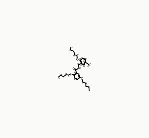 CCCCCOc1ccc(OCCCCC)c(C(=O)CCc2cc(CC)ccc2OCCCCC)c1